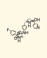 C[C@H](NS(=O)(=O)c1ccc(F)cc1)C(=O)Nc1ccc(C[C@@H]2CC[C@H]([C@H](O)c3cccnc3)N2)cc1